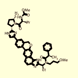 CC[C@@H](c1nc2ccc3cc4c(cc3c2[nH]1)OCc1cc(-c2c[nH]c([C@@H]3CC[C@H](C)N3C(=O)[C@@H](NC(=O)OC)C(C)C)n2)ccc1-4)N(CCCOC)C(=O)[C@H](C)c1ccccc1